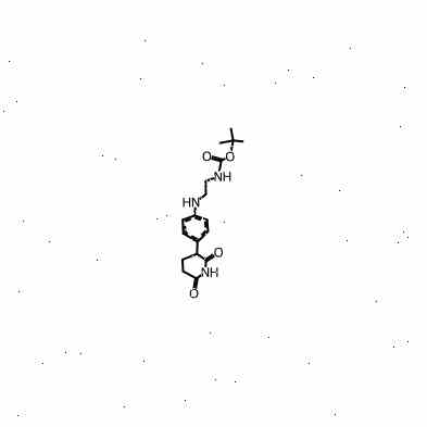 CC(C)(C)OC(=O)NCCNc1ccc(C2CCC(=O)NC2=O)cc1